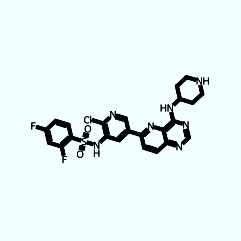 O=S(=O)(Nc1cc(-c2ccc3ncnc(NC4CCNCC4)c3n2)cnc1Cl)c1ccc(F)cc1F